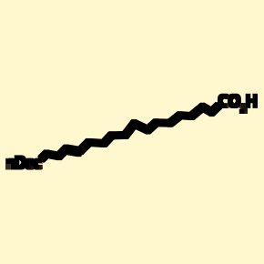 CCCCCCCCCCCCC=CCCCCCCCCCCCCC(=O)O